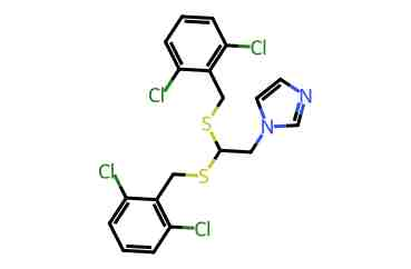 Clc1cccc(Cl)c1CSC(Cn1ccnc1)SCc1c(Cl)cccc1Cl